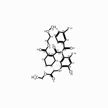 CCOC(=O)CSc1cc(N(C(=O)C2=C(C(=O)OCCOC)CCCC2)C(=O)c2cccc(F)c2)c(F)cc1Cl